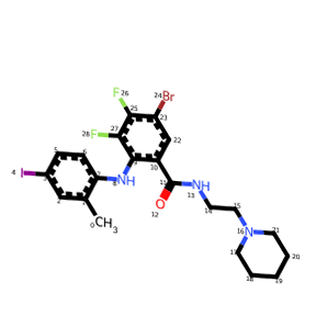 Cc1cc(I)ccc1Nc1c(C(=O)NCCN2CCCCC2)cc(Br)c(F)c1F